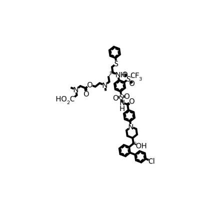 CN(CCOC(=O)CN(C)CC(=O)O)CC[C@H](CSc1ccccc1)Nc1ccc(S(=O)(=O)NC(=O)c2ccc(N3CCC([C@@H](O)c4ccccc4-c4ccc(Cl)cc4)CC3)cc2)cc1S(=O)(=O)C(F)(F)F